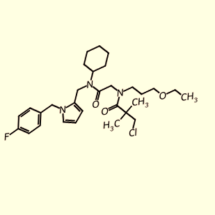 CCOCCCN(CC(=O)N(Cc1cccn1Cc1ccc(F)cc1)C1CCCCC1)C(=O)C(C)(C)CCl